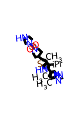 Cc1c(-c2[nH]c3sc(C4CCN(S(=O)(=O)N5CCNCC5)CC4)c(C)c3c2C(C)C)cn2ncnc2c1C